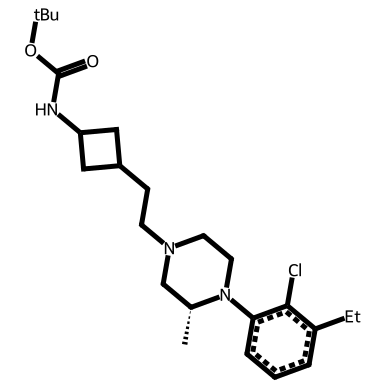 CCc1cccc(N2CCN(CCC3CC(NC(=O)OC(C)(C)C)C3)C[C@H]2C)c1Cl